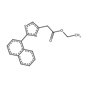 CCOC(=O)Cc1csc(-c2cccc3ccccc23)n1